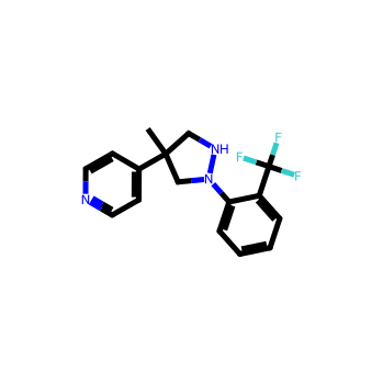 CC1(c2ccncc2)CNN(c2ccccc2C(F)(F)F)C1